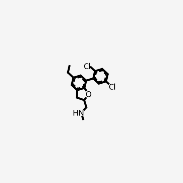 CCc1cc2c(c(-c3cc(Cl)ccc3Cl)c1)OC(CNC)C2